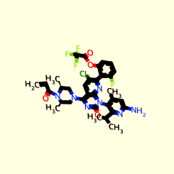 C=CC(=O)N1[C@H](C)CN(c2nc(=O)n(-c3c(C)cc(N)nc3C(C)C)c3nc(-c4c(F)cccc4OC(=O)C(F)(F)F)c(Cl)cc23)C[C@@H]1C